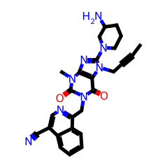 CC#CCn1c(N2CCCC(N)C2)nc2c1c(=O)n(Cc1ncc(C#N)c3ccccc13)c(=O)n2C